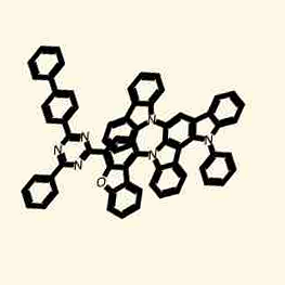 c1ccc(-c2ccc(-c3nc(-c4ccccc4)nc(-c4ccc(-n5c6ccccc6c6c5c(-n5c7ccccc7c7ccccc75)cc5c7ccccc7n(-c7ccccc7)c56)c5c4oc4ccccc45)n3)cc2)cc1